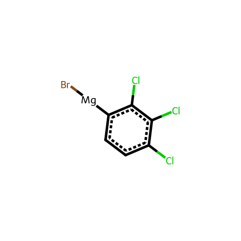 Clc1cc[c]([Mg][Br])c(Cl)c1Cl